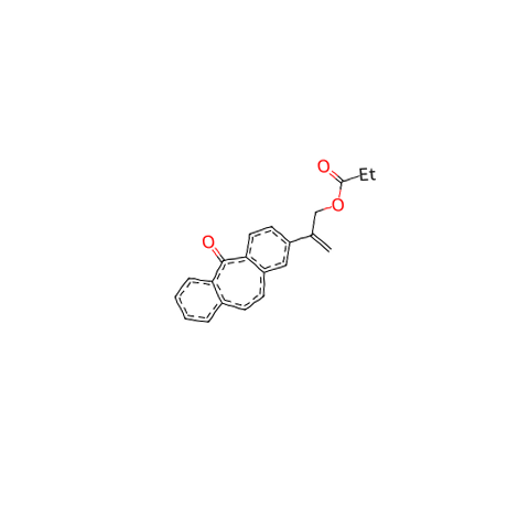 C=C(COC(=O)CC)c1ccc2c(=O)c3ccccc3ccc2c1